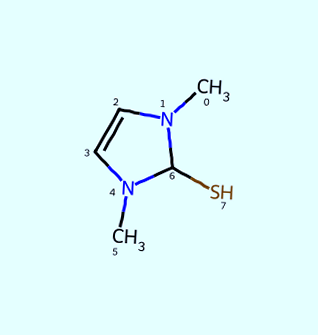 CN1C=CN(C)C1S